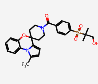 CC(C)(CO)S(=O)(=O)c1ccc(C(=O)N2CCC3(CC2)Oc2ccccc2-n2c(C(F)(F)F)ccc23)cc1